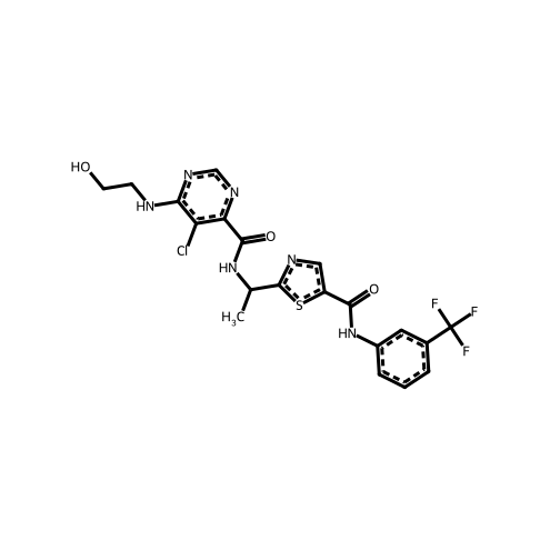 CC(NC(=O)c1ncnc(NCCO)c1Cl)c1ncc(C(=O)Nc2cccc(C(F)(F)F)c2)s1